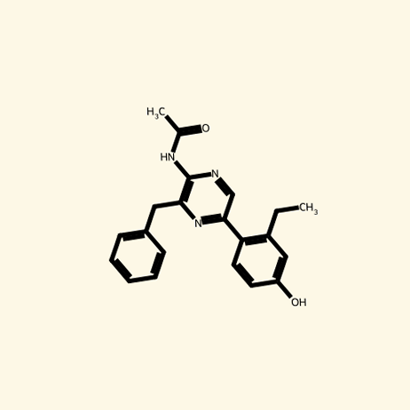 CCc1cc(O)ccc1-c1cnc(NC(C)=O)c(Cc2ccccc2)n1